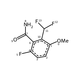 COc1ccc(F)c(C(N)=O)c1C(F)F